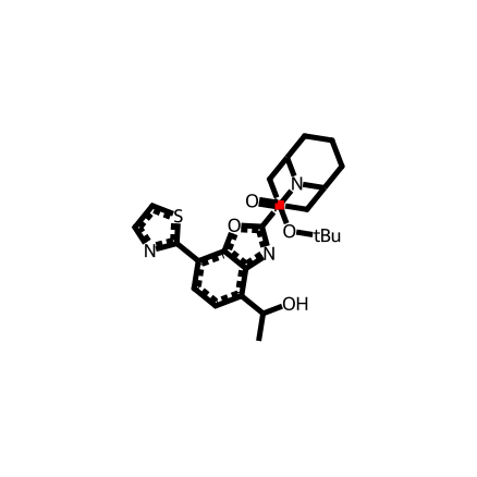 CC(O)c1ccc(-c2nccs2)c2oc(N3CC4CCCC(C3)N4C(=O)OC(C)(C)C)nc12